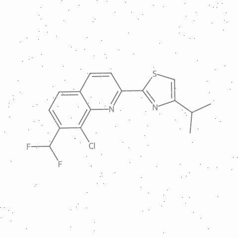 CC(C)c1csc(-c2c[c]c3ccc(C(F)F)c(Cl)c3n2)n1